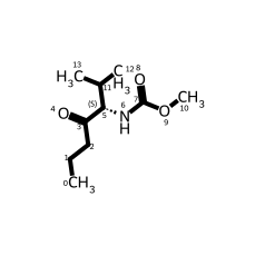 CCCC(=O)[C@@H](NC(=O)OC)C(C)C